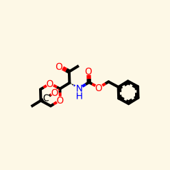 CC(=O)[C@H](NC(=O)OCc1ccccc1)C12OCC(C)(CO1)CO2